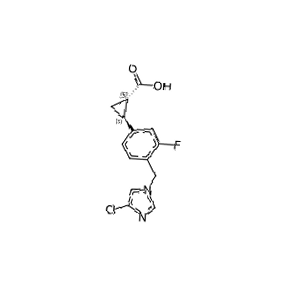 O=C(O)[C@H]1C[C@@H]1c1ccc(Cn2cnc(Cl)c2)c(F)c1